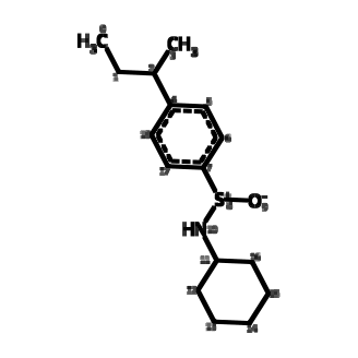 CCC(C)c1ccc([S+]([O-])NC2CCCCC2)cc1